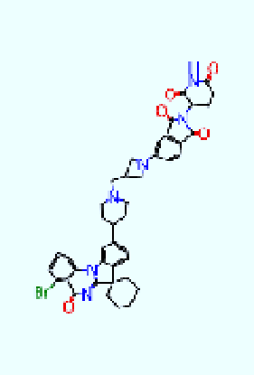 O=C1CCC(N2C(=O)c3ccc(N4CC(CN5CCC(c6ccc7c(c6)-n6c(nc(=O)c8c(Br)cccc86)C76CCCCC6)CC5)C4)cc3C2=O)C(=O)N1